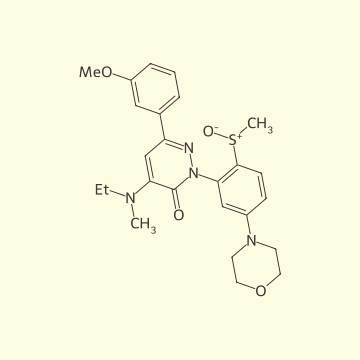 CCN(C)c1cc(-c2cccc(OC)c2)nn(-c2cc(N3CCOCC3)ccc2[S+](C)[O-])c1=O